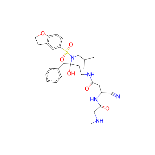 CNCC(=O)NC(C#N)CC(=O)NCCC(O)(Cc1ccccc1)N(CC(C)C)S(=O)(=O)c1ccc2c(c1)CCO2